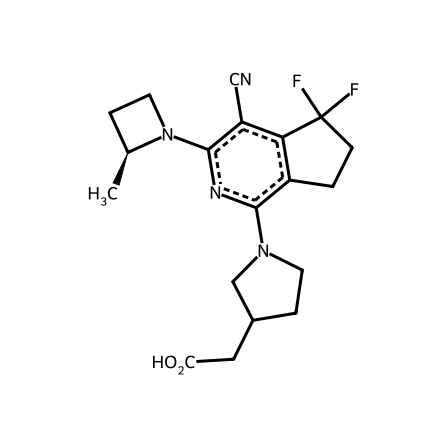 C[C@H]1CCN1c1nc(N2CCC(CC(=O)O)C2)c2c(c1C#N)C(F)(F)CC2